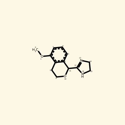 COc1cccc2c1CCOC2C1=NCCN1